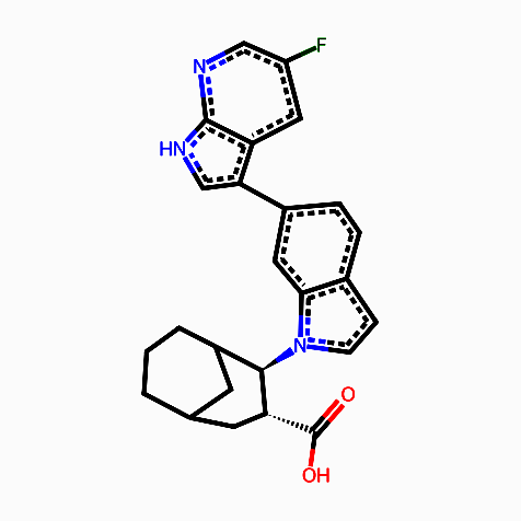 O=C(O)[C@@H]1CC2CCCC(C2)[C@H]1n1ccc2ccc(-c3c[nH]c4ncc(F)cc34)cc21